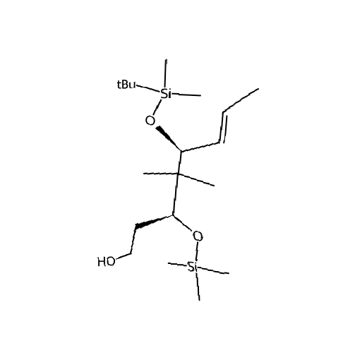 C/C=C/[C@H](O[Si](C)(C)C(C)(C)C)C(C)(C)[C@H](CCO)O[Si](C)(C)C